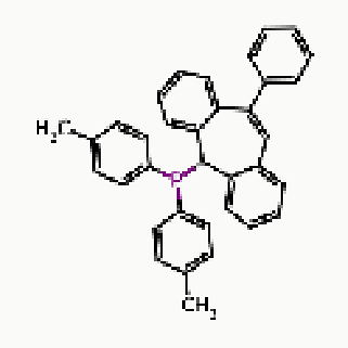 Cc1ccc(P(c2ccc(C)cc2)[C@@H]2c3ccccc3C=C(c3ccccc3)c3ccccc32)cc1